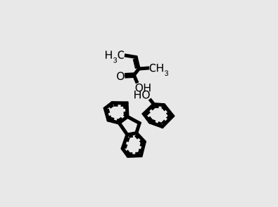 CC=C(C)C(=O)O.Oc1ccccc1.c1ccc2c(c1)Cc1ccccc1-2